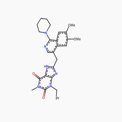 COc1cc2c(Cc3nc4c([nH]3)c(=O)n(C)c(=O)n4CC(C)C)cnc(N3CCCCC3)c2cc1OC